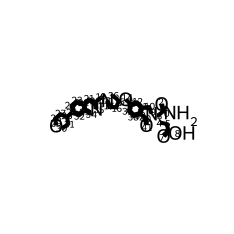 NC(=O)[C@H](CCC(=O)O)N1Cc2cc(O[C@H]3CCN(Cc4cc5ccc(C6CCOCC6)cc5cn4)C3)ccc2C1=O